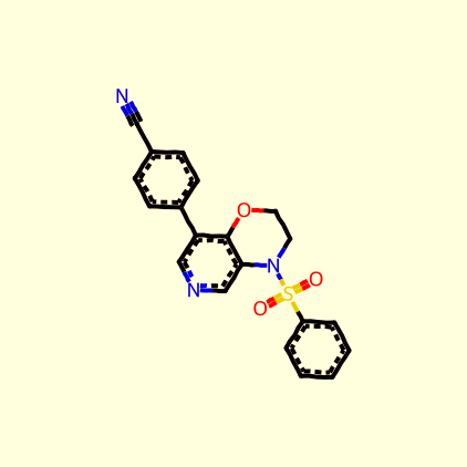 N#Cc1ccc(-c2cncc3c2OCCN3S(=O)(=O)c2ccccc2)cc1